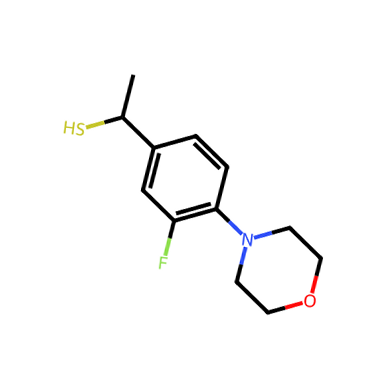 CC(S)c1ccc(N2CCOCC2)c(F)c1